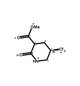 COC(=O)C1C[C@@H](C(F)(F)F)CNC1=O